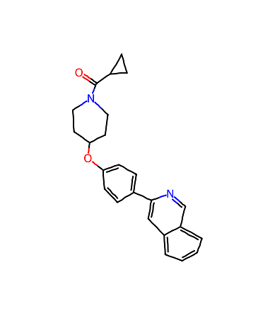 O=C(C1CC1)N1CCC(Oc2ccc(-c3cc4ccccc4cn3)cc2)CC1